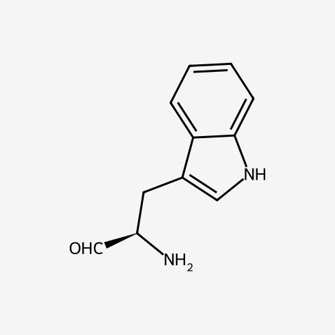 N[C@@H](C=O)Cc1c[nH]c2ccccc12